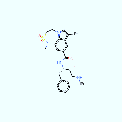 CCc1cn2c3c(cc(C(=O)N[C@@H](Cc4ccccc4)[C@H](O)CNC(C)C)cc13)N(C)S(=O)(=O)CC2